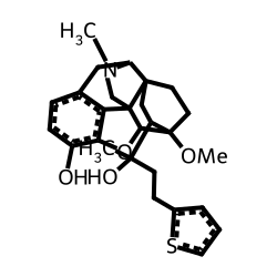 COC12CCC3(CC1C(C)(O)CCc1cccs1)C1Cc4ccc(O)c5c4C3(CCN1C)C2O5